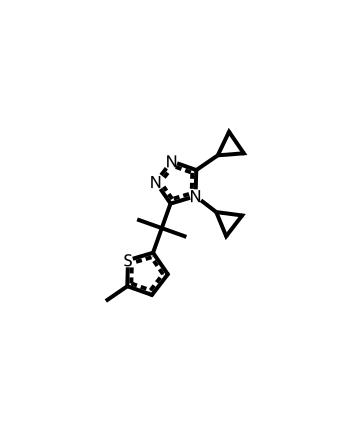 Cc1ccc(C(C)(C)c2nnc(C3CC3)n2C2CC2)s1